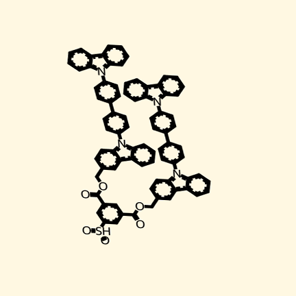 O=C(OCc1ccc2c(c1)c1ccccc1n2-c1ccc(-c2ccc(-n3c4ccccc4c4ccccc43)cc2)cc1)c1cc(C(=O)OCc2ccc3c(c2)c2ccccc2n3-c2ccc(-c3ccc(-n4c5ccccc5c5ccccc54)cc3)cc2)cc([SH](=O)=O)c1